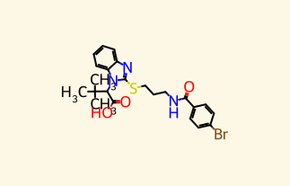 CC(C)(C)C(C(=O)O)n1c(SCCCNC(=O)c2ccc(Br)cc2)nc2ccccc21